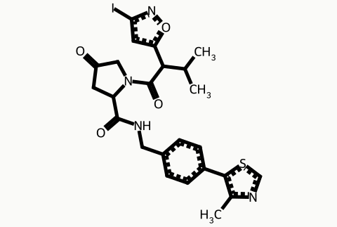 Cc1ncsc1-c1ccc(CNC(=O)C2CC(=O)CN2C(=O)C(c2cc(I)no2)C(C)C)cc1